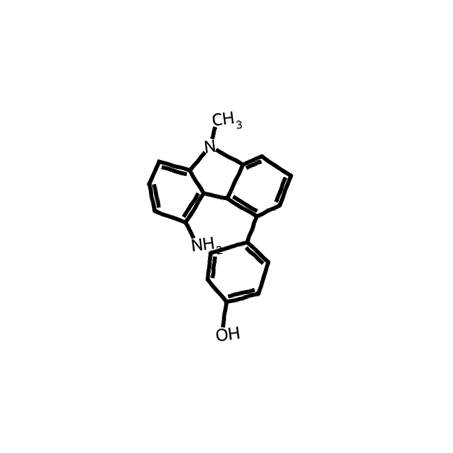 Cn1c2cccc(N)c2c2c(-c3ccc(O)cc3)cccc21